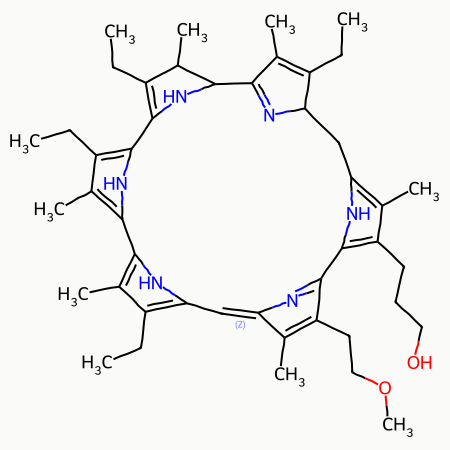 CCC1=C(C)C2=NC1Cc1[nH]c(c(CCCO)c1C)C1=N/C(=C\c3[nH]c(c(C)c3CC)-c3[nH]c(c(CC)c3C)C3=C(CC)C(C)C2N3)C(C)=C1CCOC